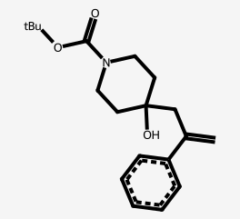 C=C(CC1(O)CCN(C(=O)OC(C)(C)C)CC1)c1ccccc1